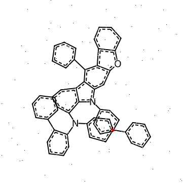 c1ccc(-c2ccc(N(c3ccccc3-c3ccccc3)c3cccc4c5c(-c6ccccc6)c6c(cc5n(-c5ccccc5)c34)oc3ccccc36)cc2)cc1